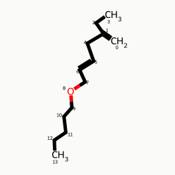 C=C(CC)C/C=C/COCCCCC